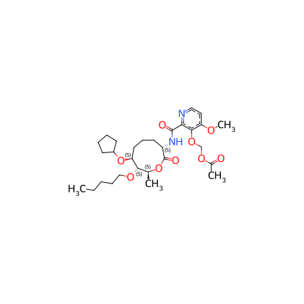 CCCCCO[C@H]1[C@H](C)OC(=O)[C@@H](NC(=O)c2nccc(OC)c2OCOC(C)=O)CCC[C@@H]1OC1CCCC1